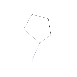 IC1[CH]CCC1